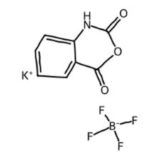 F[B-](F)(F)F.O=c1[nH]c2ccccc2c(=O)o1.[K+]